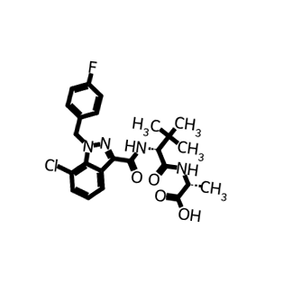 C[C@@H](NC(=O)[C@H](NC(=O)c1nn(Cc2ccc(F)cc2)c2c(Cl)cccc12)C(C)(C)C)C(=O)O